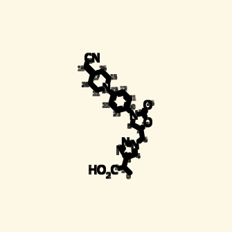 CC(C(=O)O)c1cn(CC2CN(c3ccc(N4CCC(=CC#N)CC4)cc3)C(=O)O2)nn1